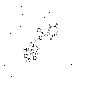 O=C(OC[C@@H]1CC2OSO[C@H]2C1)c1ccccc1